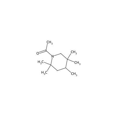 CC(=O)N1CC(C)(C)C(C)CC1(C)C